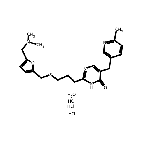 Cc1ccc(Cc2cnc(CCCSCc3ccc(CN(C)C)o3)[nH]c2=O)cn1.Cl.Cl.Cl.O